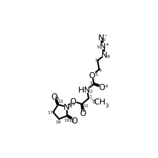 C[C@@H](NC(=O)OCCN=[N+]=[N-])C(=O)ON1C(=O)CCC1=O